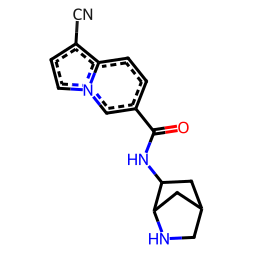 N#Cc1ccn2cc(C(=O)NC3CC4CNC3C4)ccc12